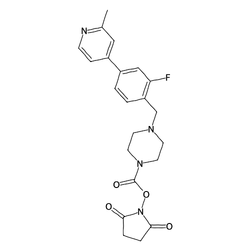 Cc1cc(-c2ccc(CN3CCN(C(=O)ON4C(=O)CCC4=O)CC3)c(F)c2)ccn1